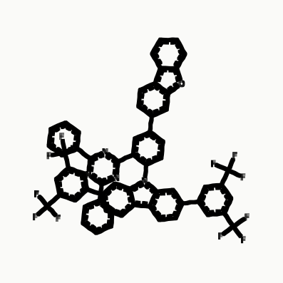 FC(F)(F)c1cc(-c2ccc3c4ccc(-c5cc(C(F)(F)F)cc(C(F)(F)F)c5)cc4n(-c4ccc(-c5ccc6c(c5)oc5ccccc56)cc4-c4nc(-c5ccccc5)nc(-c5ccccc5)n4)c3c2)cc(C(F)(F)F)c1